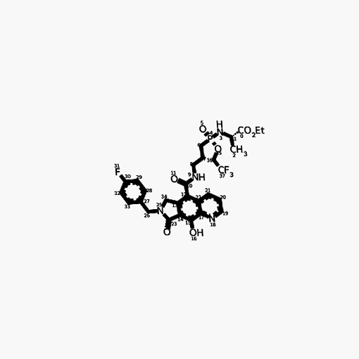 CCOC(=O)[C@H](C)NP(=O)(CCCNC(=O)c1c2c(c(O)c3ncccc13)C(=O)N(Cc1ccc(F)cc1)C2)OCC(F)(F)F